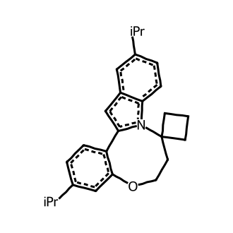 CC(C)c1ccc2c(c1)OCCC1(CCC1)n1c-2cc2cc(C(C)C)ccc21